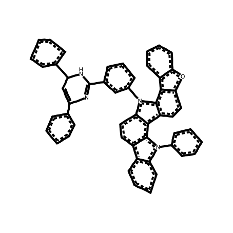 C1=C(c2ccccc2)N=C(c2cccc(-n3c4ccc5c6ccccc6n(-c6ccccc6)c5c4c4ccc5oc6ccccc6c5c43)c2)NC1c1ccccc1